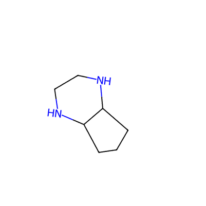 C1CC2NCCNC2C1